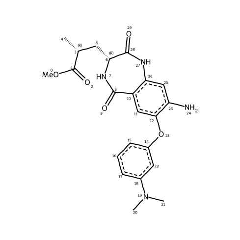 COC(=O)[C@H](C)C[C@H]1NC(=O)c2cc(Oc3cccc(N(C)C)c3)c(N)cc2NC1=O